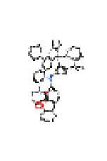 CC1(C)c2ccccc2C2(c3ccccc3-c3c(-c4ccccc4)cccc32)c2cc(N(c3ccc4c(c3)oc3ccccc34)c3ccccc3-c3ccccc3)ccc21